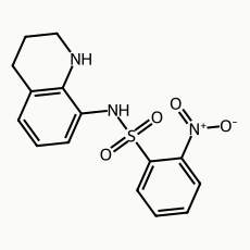 O=[N+]([O-])c1ccccc1S(=O)(=O)Nc1cccc2c1NCCC2